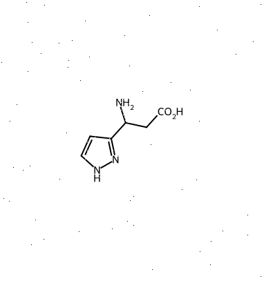 NC(CC(=O)O)c1cc[nH]n1